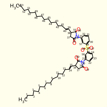 CCCCCCCCCCCCCC/C=C/C1CC(=O)N(c2cccc(S(=O)(=O)c3cccc(N4C(=O)CC(/C=C/CCCCCCCCCCCCCC)C4=O)c3)c2)C1=O